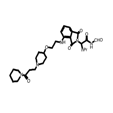 CCCC(C(=O)NC=O)N1C(=O)c2cccc(NCCOC3CCN(CCC(=O)N4CCCCC4)CC3)c2C1=O